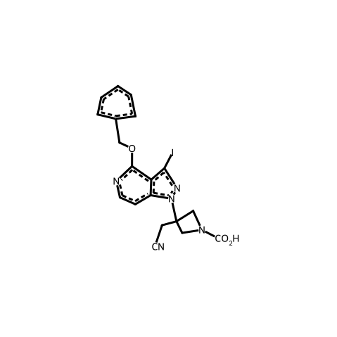 N#CCC1(n2nc(I)c3c(OCc4ccccc4)nccc32)CN(C(=O)O)C1